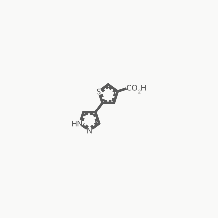 O=C(O)c1csc(-c2cn[nH]c2)c1